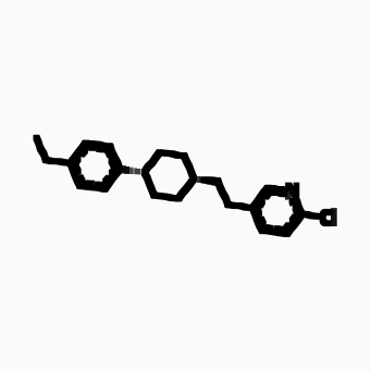 CCc1ccc([C@H]2CC[C@H](CCc3ccc(Cl)nc3)CC2)cc1